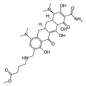 COC(=O)CCCNCc1cc(N(C)C)c2c(c1O)C(=O)C1=C(O)[C@]3(O)C(=O)C(C(N)=O)=C(O)[C@H](N(C)C)[C@@H]3C[C@@H]1C2